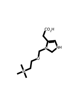 C[Si](C)(C)CCOCN1CNC=C1CC(=O)O